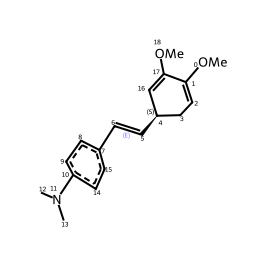 COC1=CC[C@@H](/C=C/c2ccc(N(C)C)cc2)C=C1OC